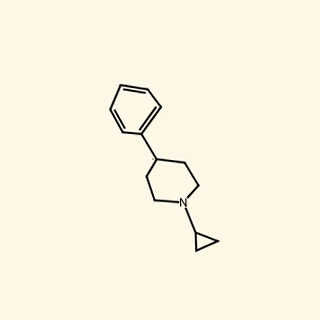 c1ccc([C]2CCN(C3CC3)CC2)cc1